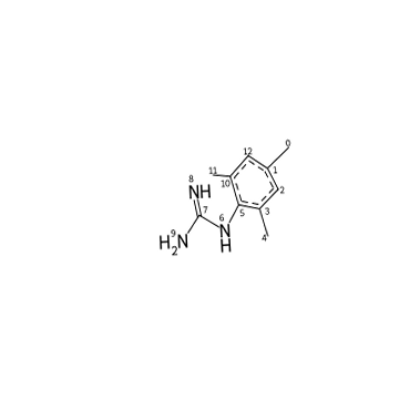 Cc1cc(C)c(NC(=N)N)c(C)c1